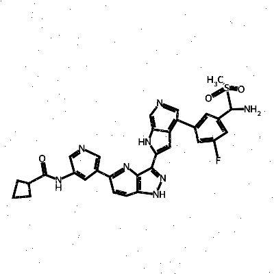 CS(=O)(=O)C(N)c1cc(F)cc(-c2cncc3[nH]c(-c4n[nH]c5ccc(-c6cncc(NC(=O)C7CCC7)c6)nc45)cc23)c1